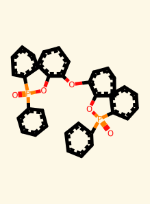 O=P(Oc1ccccc1Oc1ccccc1OP(=O)(c1ccccc1)c1ccccc1)(c1ccccc1)c1ccccc1